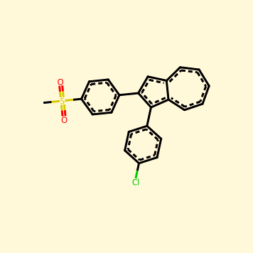 CS(=O)(=O)c1ccc(-c2cc3cccccc-3c2-c2ccc(Cl)cc2)cc1